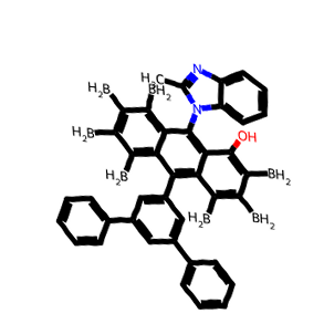 Bc1c(B)c(B)c2c(-n3c(C)nc4ccccc43)c3c(O)c(B)c(B)c(B)c3c(-c3cc(-c4ccccc4)cc(-c4ccccc4)c3)c2c1B